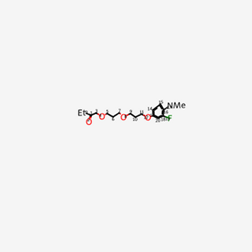 CCC(=O)COCCCOCCCOc1ccc(NC)c(F)c1